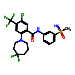 C[S@@](=N)(=O)c1cccc(NC(=O)c2cc(Cl)c(C(F)(F)F)cc2N2CCCC(F)(F)CC2)c1